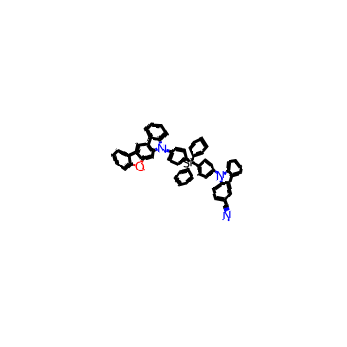 N#Cc1ccc2c(c1)c1ccccc1n2-c1ccc([Si](c2ccccc2)(c2ccccc2)c2ccc(-n3c4ccccc4c4cc5c(cc43)oc3ccccc35)cc2)cc1